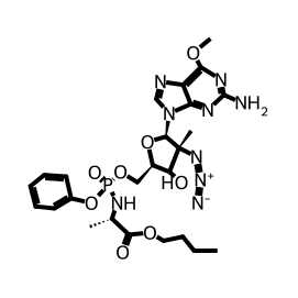 CCCCOC(=O)[C@H](C)NP(=O)(OC[C@H]1O[C@@H](n2cnc3c(OC)nc(N)nc32)[C@](C)(N=[N+]=[N-])C1O)Oc1ccccc1